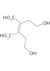 O=C(O)/C(CCO)=C(/CCO)C(=O)O